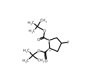 CC(C)(C)OC(=O)[C@@H]1CC(F)CN1C(=O)OC(C)(C)C